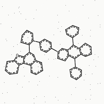 c1ccc(-c2c3ccccc3c(-c3ccccc3)c3cc(-c4ccc(-c5ccccc5-c5cc6ccccc6c6c5oc5ccccc56)cc4)ccc23)cc1